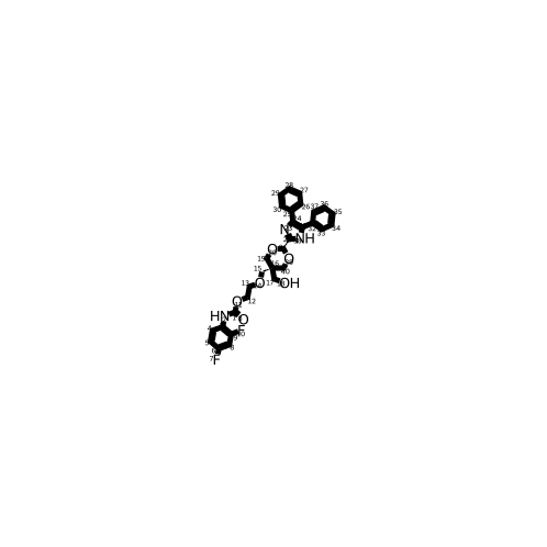 O=C(Nc1ccc(F)cc1F)OCCOC[C@]1(CO)CO[C@H](c2nc(-c3ccccc3)c(-c3ccccc3)[nH]2)OC1